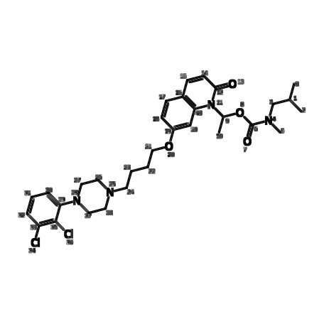 CC(C)CN(C)C(=O)OC(C)n1c(=O)ccc2ccc(OCCCCN3CCN(c4cccc(Cl)c4Cl)CC3)cc21